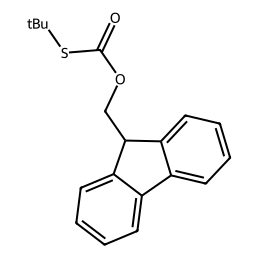 CC(C)(C)SC(=O)OCC1c2ccccc2-c2ccccc21